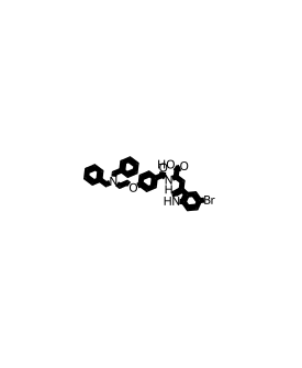 O=C(NC(Cc1c[nH]c2ccc(Br)cc12)C(=O)O)c1ccc(OCCN(Cc2ccccc2)Cc2ccccc2)cc1